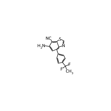 CC(F)(F)c1ccc(-c2cc(N)c(C#N)c3scnc23)cc1